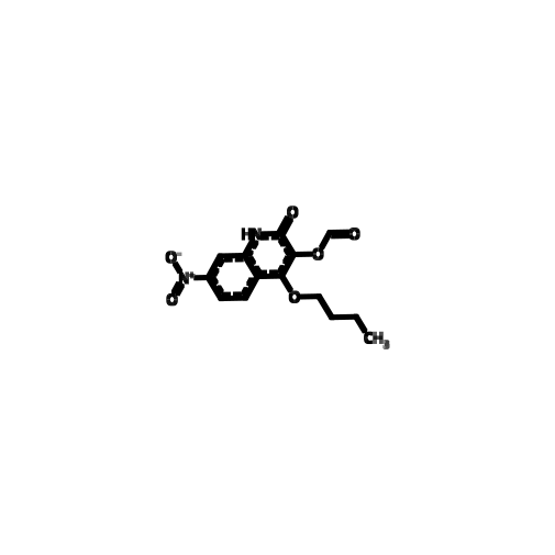 CCCCOc1c(OC=O)c(=O)[nH]c2cc([N+](=O)[O-])ccc12